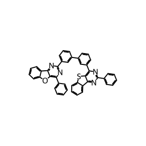 c1ccc(-c2nc(-c3cccc(-c4cccc(-c5nc(-c6ccccc6)c6oc7ccccc7c6n5)c4)c3)c3sc4ccccc4c3n2)cc1